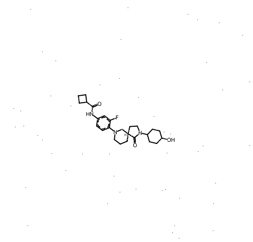 O=C(Nc1ccc(N2CCC[C@]3(CCN(C4CCC(O)CC4)C3=O)C2)c(F)c1)C1CCC1